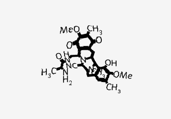 COC1=C(C)C(=O)C2=C(C1=O)C(CNC(=O)C(C)N)N1C(C#N)C3Cc4cc(C)c(OC)c(O)c4C(C1C2)N3C